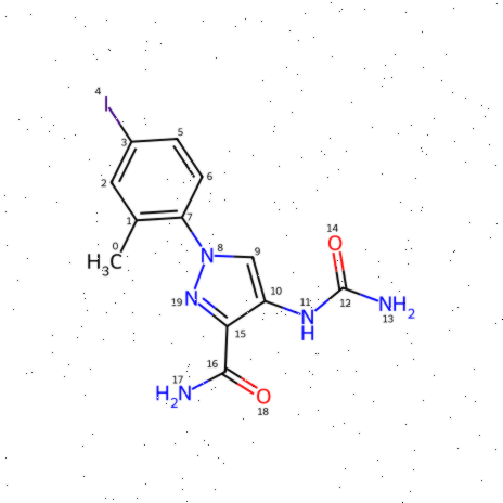 Cc1cc(I)ccc1-n1cc(NC(N)=O)c(C(N)=O)n1